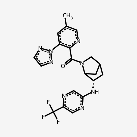 Cc1cnc(C(=O)N2CC3CC2[C@@H](Nc2cnc(C(F)(F)F)cn2)C3)c(-n2nccn2)c1